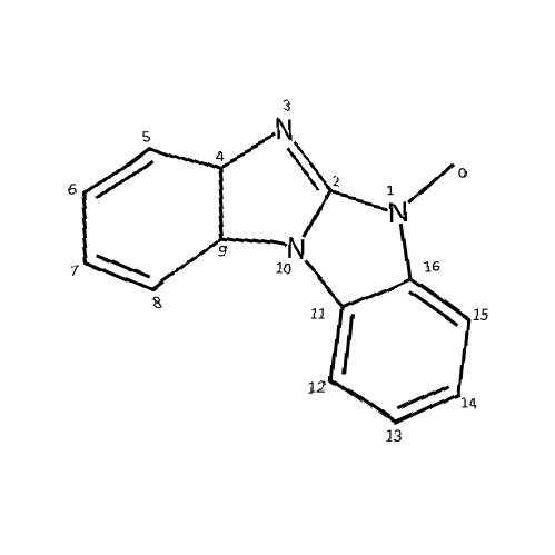 CN1C2=NC3C=CC=CC3N2c2ccccc21